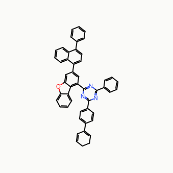 C1=CC(c2ccc(-c3nc(-c4ccccc4)nc(-c4cc(-c5ccc(-c6ccccc6)c6ccccc56)cc5oc6ccccc6c45)n3)cc2)=CCC1